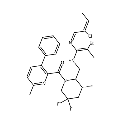 C\C=C(Cl)/C=N\C(NCC1[C@H](C)CC(F)(F)CN1C(=O)c1nc(C)ccc1-c1ccccc1)=C(\C)CC